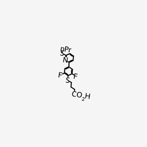 CCCSc1cccc(-c2cc(F)c(SCCCC(=O)O)c(F)c2)n1